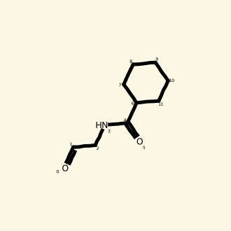 O=CCNC(=O)C1CCCCC1